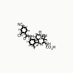 CC1(C)C(NC(=O)O)=N[C@](C)(c2cc(NC(=O)c3ccc(C#N)cc3Cl)ccc2F)[C@@H]2CCNS21O